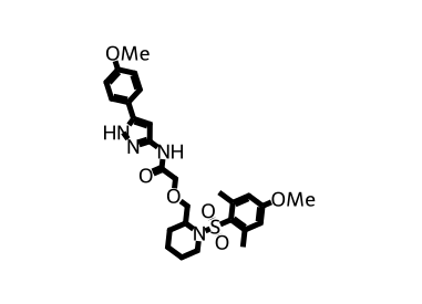 COc1ccc(-c2cc(NC(=O)COCC3CCCCN3S(=O)(=O)c3c(C)cc(OC)cc3C)n[nH]2)cc1